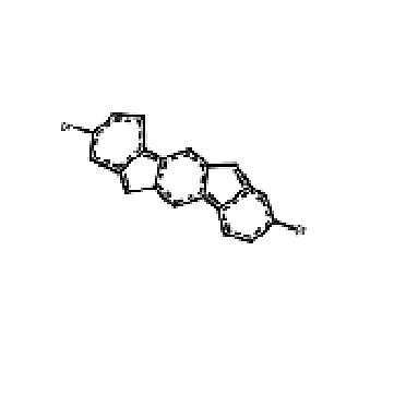 Brc1ccc2c(c1)=Cc1cc3c(cc1=2)C=c1cc(Br)ccc1=3